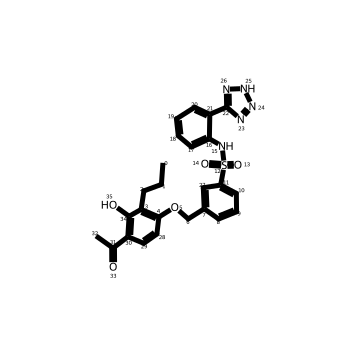 CCCc1c(OCc2cccc(S(=O)(=O)Nc3ccccc3-c3nn[nH]n3)c2)ccc(C(C)=O)c1O